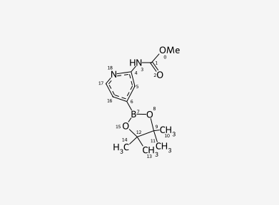 COC(=O)Nc1cc(B2OC(C)(C)C(C)(C)O2)ccn1